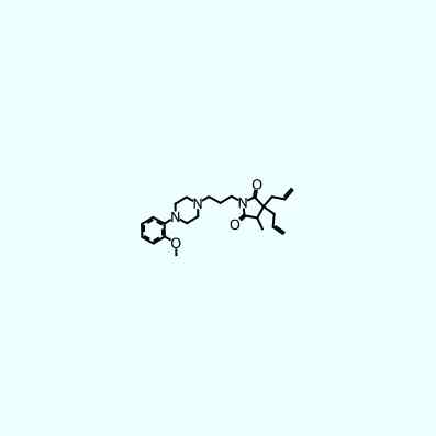 C=CCC1(CC=C)C(=O)N(CCCN2CCN(c3ccccc3OC)CC2)C(=O)C1C